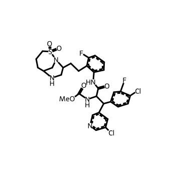 COC(=O)NC(C(=O)Nc1cccc(F)c1CCC1CNC2CCCS(=O)(=O)N1C2)C(c1cncc(Cl)c1)c1ccc(Cl)c(F)c1